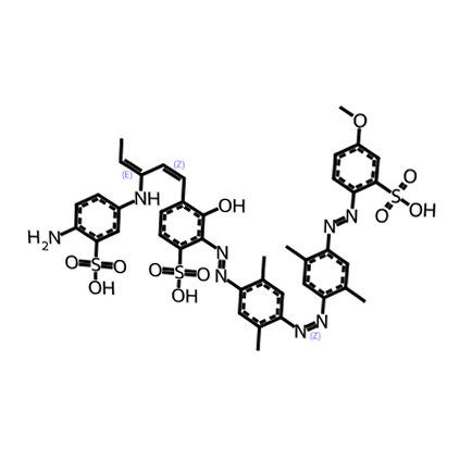 C/C=C(\C=C/c1ccc(S(=O)(=O)O)c(N=Nc2cc(C)c(/N=N\c3cc(C)c(N=Nc4ccc(OC)cc4S(=O)(=O)O)cc3C)cc2C)c1O)Nc1ccc(N)c(S(=O)(=O)O)c1